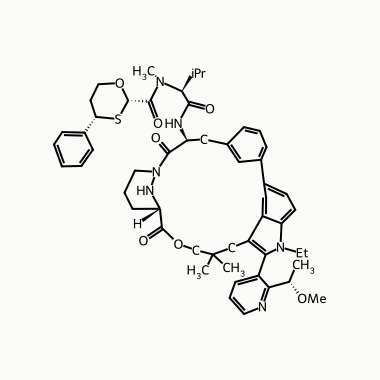 CCn1c(-c2cccnc2[C@H](C)OC)c2c3cc(ccc31)-c1cccc(c1)C[C@H](NC(=O)[C@H](C(C)C)N(C)C(=O)[C@H]1OCC[C@@H](c3ccccc3)S1)C(=O)N1CCC[C@H](N1)C(=O)OCC(C)(C)C2